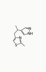 Cc1nc(CC(C)c2cn[nH]c2)cs1